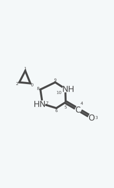 C1CC1.O=C=C1CNCCN1